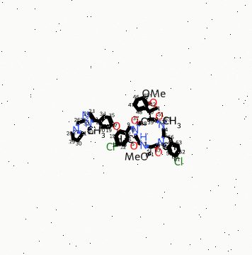 COC[C@@H]1NC(=O)[C@H](C)N(Cc2ccc(Cl)cc2Oc2ccc(-c3cnc(CN4CCCC4)n3C)cc2)C(=O)C[C@@H](C2COc3c(OC)cccc32)C(=O)N(C)C[C@@H](Cc2ccc(Cl)cc2)N(C)C1=O